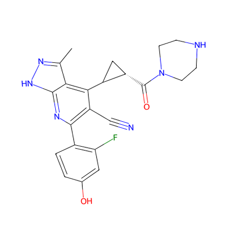 Cc1n[nH]c2nc(-c3ccc(O)cc3F)c(C#N)c(C3C[C@@H]3C(=O)N3CCNCC3)c12